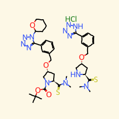 CN(C)C(=S)[C@@H]1C[C@@H](OCc2cccc(-c3nnn[nH]3)c2)CN1.CN(C)C(=S)[C@@H]1C[C@@H](OCc2cccc(-c3nnnn3C3CCCCO3)c2)CN1C(=O)OC(C)(C)C.Cl